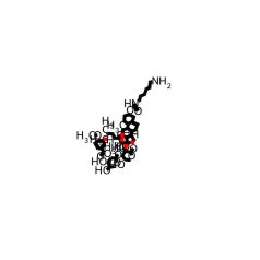 COc1ccc(C(=O)OC2C(OC3C(O)COC(O[C@H]4C[C@H]5[C@@H]6CC=C7C[C@@H](OC(=O)NCCCCCCN)CC[C@]7(C)C6CC[C@]5(C)[C@@]4(O)[C@H](C)C(=O)CCC(C)C)C3O)OCC(O)C2O)cc1